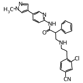 Cn1cc(-c2ccc(NC(=O)C(CNCCc3ccc(C#N)cc3Cl)c3ccccc3)nc2)cn1